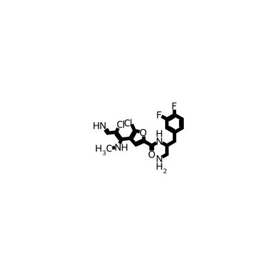 CN/C(=C(/Cl)C=N)c1cc(C(=O)NC(CN)Cc2ccc(F)c(F)c2)oc1Cl